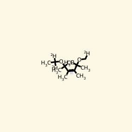 [2H]COC(C)(C)/C(C)=C(/C)C(C)(C)OC([2H])([2H])C